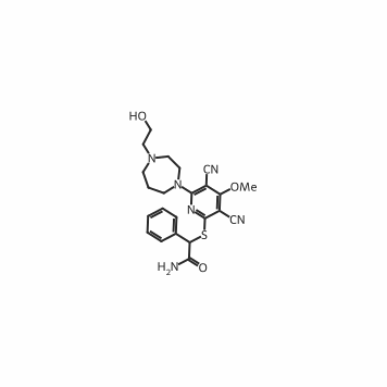 COc1c(C#N)c(SC(C(N)=O)c2ccccc2)nc(N2CCCN(CCO)CC2)c1C#N